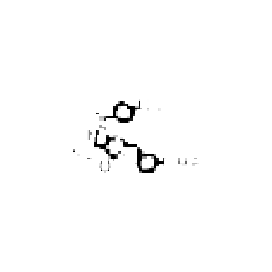 COc1cccc(Cc2nc3c(c(C#N)nn3[C@@H](C)c3ccc(C(F)(F)F)cc3)c(=O)[nH]2)c1